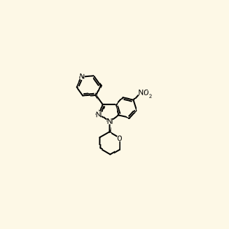 O=[N+]([O-])c1ccc2c(c1)c(-c1ccncc1)nn2C1CCCCO1